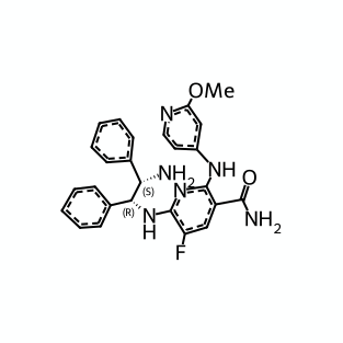 COc1cc(Nc2nc(N[C@H](c3ccccc3)[C@@H](N)c3ccccc3)c(F)cc2C(N)=O)ccn1